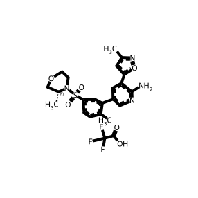 Cc1cc(-c2cc(-c3cc(S(=O)(=O)N4CCOC[C@H]4C)ccc3C)cnc2N)on1.O=C(O)C(F)(F)F